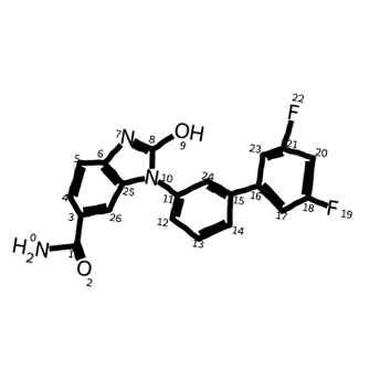 NC(=O)c1ccc2nc(O)n(-c3cccc(-c4cc(F)cc(F)c4)c3)c2c1